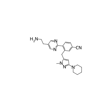 Cn1nc(N2CCCCC2)cc1Cc1cc(C#N)ccc1-c1ncc(CCN)cn1